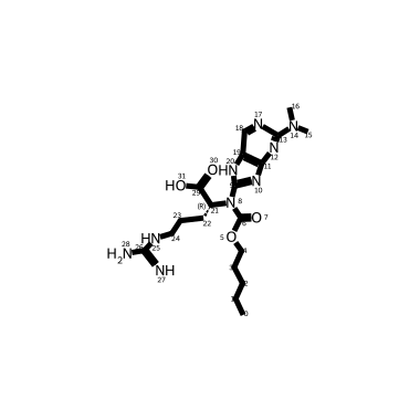 CCCCCOC(=O)N(c1nc2nc(N(C)C)ncc2[nH]1)[C@H](CCCNC(=N)N)C(=O)O